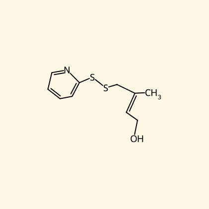 CC(=CCO)CSSc1ccccn1